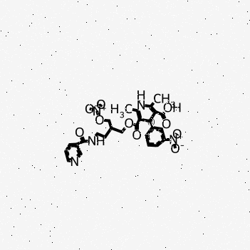 CC1=C(C(=O)O)[C@@H](c2cccc([N+](=O)[O-])c2)C(C(=O)OCC(CCNC(=O)c2cccnc2)CO[N+](=O)[O-])=C(C)N1